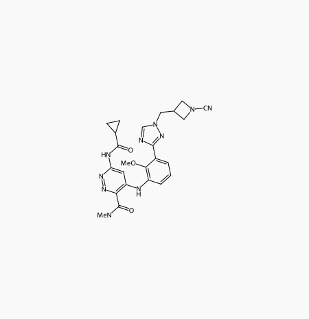 CNC(=O)c1nnc(NC(=O)C2CC2)cc1Nc1cccc(-c2ncn(CC3CN(C#N)C3)n2)c1OC